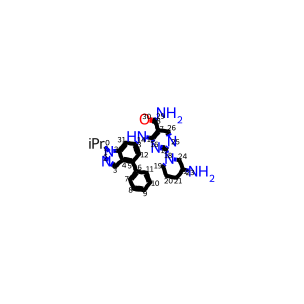 CC(C)n1ncc2c(-c3ccccc3)cc(Nc3nc(N4CCCC(N)C4)ncc3C(N)=O)cc21